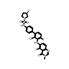 Cn1cnc2ccc(Nc3c(F)ccc(-c4ccc(NS(=O)(=O)N5CC[C@@H](F)C5)cc4)c3Cl)c(F)c2c1=O